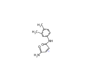 Cc1ccc(NC(=O)/C=C\C(N)=O)cc1C